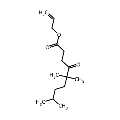 C=CCOC(=O)CCC(=O)C(C)(C)CCC(C)C